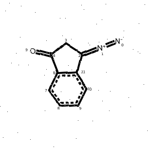 [N-]=[N+]=C1CC(=O)c2ccccc21